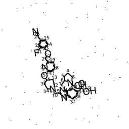 CCN1CCCC1Cn1c(CN2CCC(Oc3cccc(COc4ccc(C#N)cc4F)n3)CC2)nc2ccc(C(=O)O)cc21